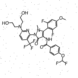 COc1cc(F)c(-c2c(NC(=O)c3ccc(OC(F)F)cc3)c(=O)n(-c3nc(N(CCO)CCO)ccc3C(F)(F)F)n2C)c(F)c1